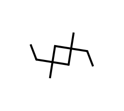 CCC1(C)CC(C)(CC)C1